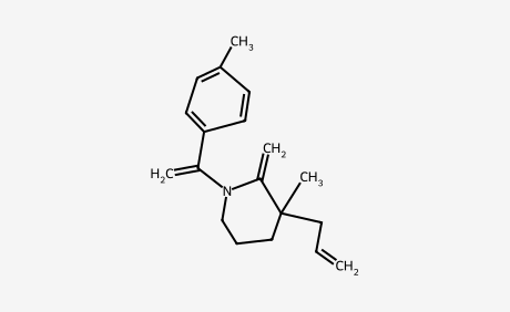 C=CCC1(C)CCCN(C(=C)c2ccc(C)cc2)C1=C